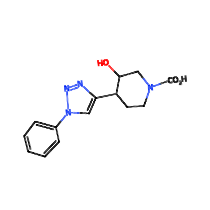 O=C(O)N1CCC(c2cn(-c3ccccc3)nn2)C(O)C1